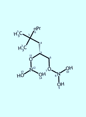 CCCC(C)(C)C[C@H](CON(O)O)ON(O)O